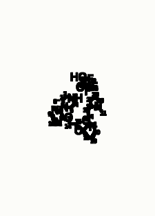 C[C@@H]1CNCCN1c1nccnc1OCCOc1cccnc1OCCC1CCCN1C.O=C(O)C(F)(F)F